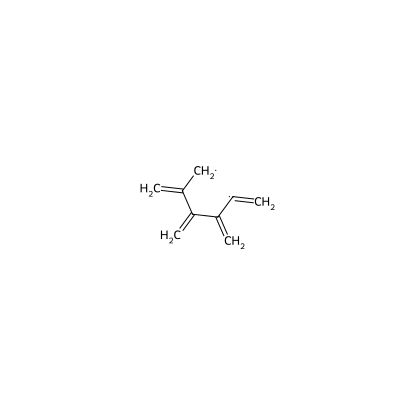 [CH2]C(=C)C(=C)C(=C)[C]=C